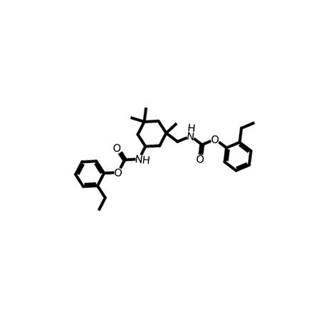 CCc1ccccc1OC(=O)NCC1(C)CC(NC(=O)Oc2ccccc2CC)CC(C)(C)C1